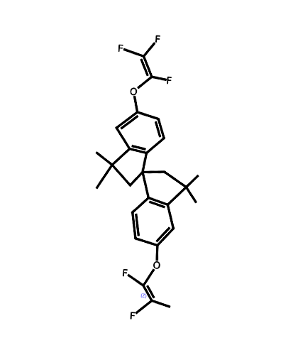 C/C(F)=C(/F)Oc1ccc2c(c1)C(C)(C)CC21CC(C)(C)c2cc(OC(F)=C(F)F)ccc21